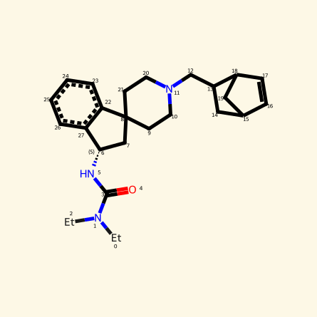 CCN(CC)C(=O)N[C@H]1CC2(CCN(CC3CC4C=CC3C4)CC2)c2ccccc21